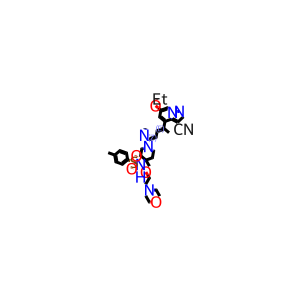 C=N/C(=C\C=C(/C)c1cc(OCC)cn2ncc(C#N)c12)N1CCC(COCCN2CCOCC2)(NS(=O)(=O)c2ccc(C)cc2)CC1